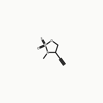 C#CC1COS(=O)(=S)N1C